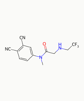 CN(C(=O)CNCC(F)(F)F)c1ccc(C#N)c(C#N)c1